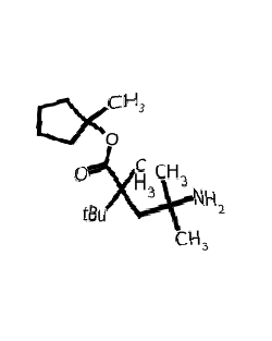 CC(C)(N)CC(C)(C(=O)OC1(C)CCCC1)C(C)(C)C